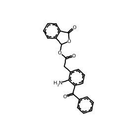 Nc1c(CC(=O)OC2OC(=O)c3ccccc32)cccc1C(=O)c1ccccc1